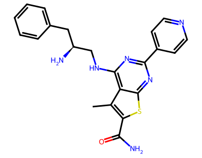 Cc1c(C(N)=O)sc2nc(-c3ccncc3)nc(NC[C@@H](N)Cc3ccccc3)c12